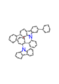 c1ccc(-c2ccc3c4ccc(-c5ccccc5)cc4n(-c4ccccc4-c4ccccc4-n4c5ccccc5c5ccccc54)c3c2)cc1